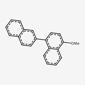 COc1ccc(-c2ccc3ccccc3c2)c2ccccc12